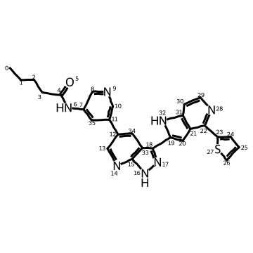 CCCCC(=O)Nc1cncc(-c2cnc3[nH]nc(-c4cc5c(-c6cccs6)nccc5[nH]4)c3c2)c1